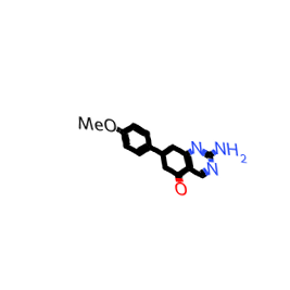 COc1ccc(C2CC(=O)c3cnc(N)nc3C2)cc1